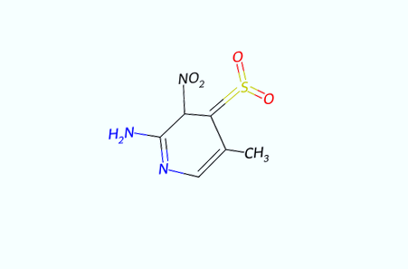 CC1=CN=C(N)C([N+](=O)[O-])C1=S(=O)=O